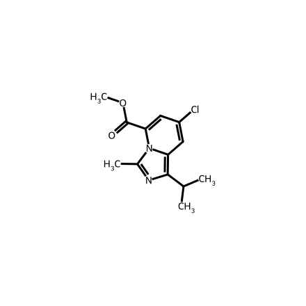 COC(=O)c1cc(Cl)cc2c(C(C)C)nc(C)n12